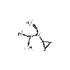 C=CN(C1CC1)N(C)C(C)C